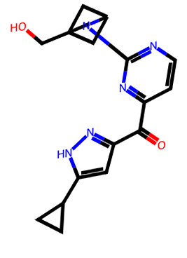 O=C(c1cc(C2CC2)[nH]n1)c1ccnc(N2CC3(CO)CC2C3)n1